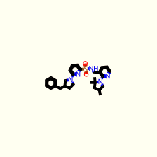 CC1CN(c2ncccc2CNS(=O)(=O)c2cccc(N3CCC(Cc4ccccc4)C3)n2)C(C)(C)C1